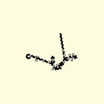 CCCCCCCCCCSCCOCC(CC)(COC(=O)NC(=O)C(C)(C)C)COC(C)(C)C(C)(C)C(=O)C(C)CC(C)(C)C(=O)OCC(CC)(COCCSCCCC(=O)NCCN1CCCCC1)COC(C)(C)C